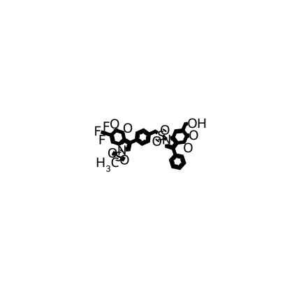 CS(=O)(=O)n1cc(-c2ccc(CS(=O)(=O)n3cc(-c4ccccc4)c4c3C=C(CO)C(=O)C4=O)cc2)c2c1C=C(C(F)(F)F)C(=O)C2=O